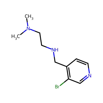 CN(C)CCNCc1ccncc1Br